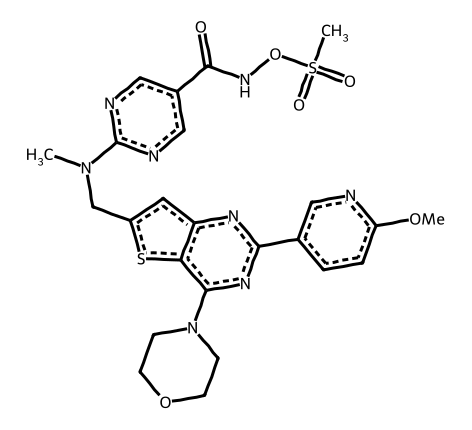 COc1ccc(-c2nc(N3CCOCC3)c3sc(CN(C)c4ncc(C(=O)NOS(C)(=O)=O)cn4)cc3n2)cn1